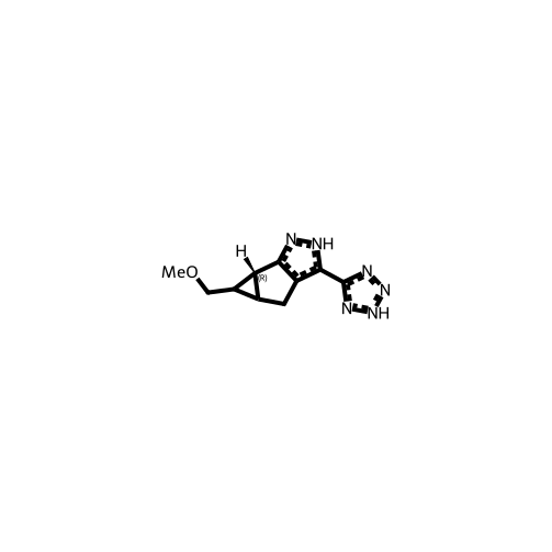 COCC1C2Cc3c(n[nH]c3-c3nn[nH]n3)[C@@H]12